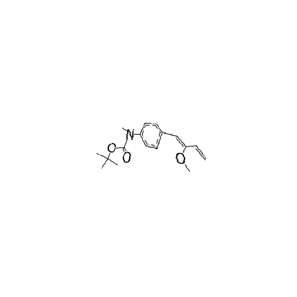 C=CC(=Cc1ccc(N(C)C(=O)OC(C)(C)C)cc1)OC